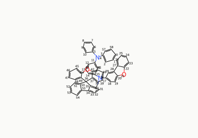 c1ccc(N(c2ccccc2)c2cccc(N(c3ccc4oc5ccccc5c4c3)c3cccc4c3C3(c5ccccc5Oc5ccccc53)c3ccccc3-4)c2)cc1